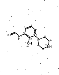 O=CNc1cccc(N2CCNCC2)c1O